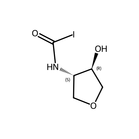 O=C(I)N[C@H]1COC[C@@H]1O